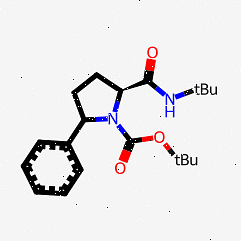 CC(C)(C)NC(=O)[C@@H]1CCC(c2ccccc2)N1C(=O)OC(C)(C)C